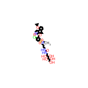 CCN(CCCCNC(=O)NC[C@H](O)[C@@H](O)[C@H](O)[C@H](O)CO)S(=O)(=O)c1ccc(Cl)c(COC2(c3c[n+]([O-])ccc3-c3ccccc3OC3CC3)CC2)c1